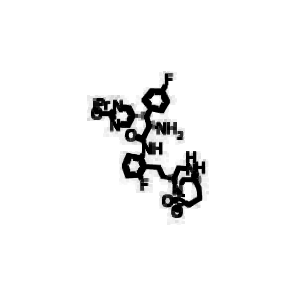 CC(C)Oc1ncc([C@H](c2ccc(F)cc2)[C@H](N)C(=O)Nc2cccc(F)c2CC[C@H]2CN[C@@H]3CCCS(=O)(=O)N2C3)cn1